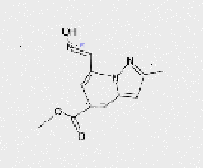 COC(=O)c1cc(/C=N/O)n2nc(C)cc2c1